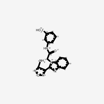 Nc1nonc1-c1nc2ccccc2n1CC(=O)Nc1cccc(C(=O)O)c1